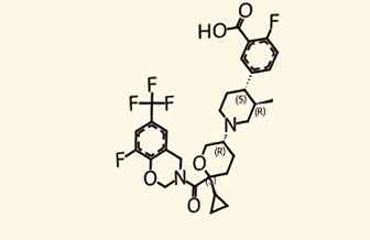 C[C@H]1CN([C@@H]2CC[C@@](C(=O)N3COc4c(F)cc(C(F)(F)F)cc4C3)(C3CC3)OC2)CC[C@@H]1c1ccc(F)c(C(=O)O)c1